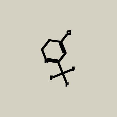 FC(F)(F)C1=NCCC(Cl)=C1